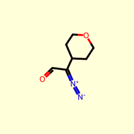 [N-]=[N+]=C(C=O)C1CCOCC1